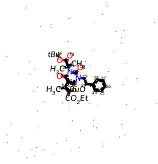 CCOC(=O)c1sc2c(c1C)c(=O)n(C(C)(C)C(=O)OC(C)(C)C)c(=O)n2C[C@H](OCC(C)C)c1ccccc1